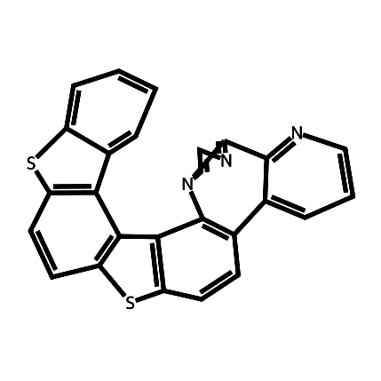 c1ccc2c(c1)sc1ccc3sc4ccc5c6cccnc6c6nccn6c5c4c3c12